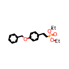 CCOP(=O)(C=Cc1ccc(OCc2ccccc2)cc1)OCC